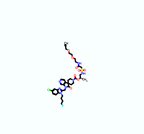 C#CCOCCOCCNC(=O)CS(=O)(=O)NC[C@@H](C)OC(=O)N1CCC2(CC1)C(=O)N(Cc1nc3cc(Cl)ccc3n1CCCCF)c1cnccc12